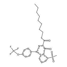 CCCCCCCCSC(=O)c1nn(-c2ccc(OC(F)(F)F)cc2)c2cccc(S(C)(=O)=O)c2c1=O